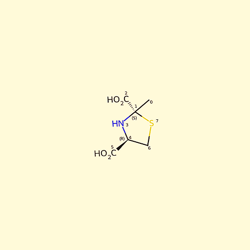 C[C@]1(C(=O)O)N[C@H](C(=O)O)CS1